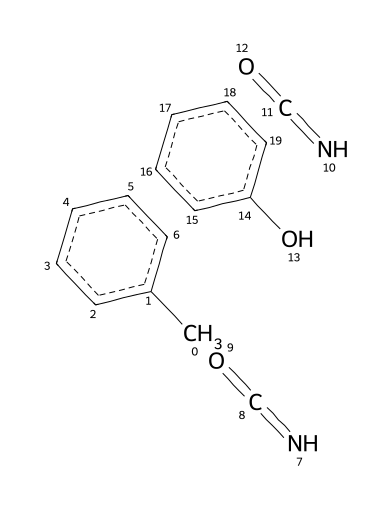 Cc1ccccc1.N=C=O.N=C=O.Oc1ccccc1